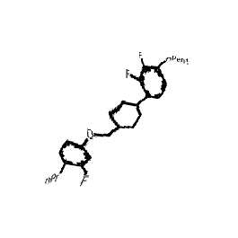 CCCCCc1ccc(C2CCC(COc3ccc(CCC)c(F)c3)CC2)c(F)c1F